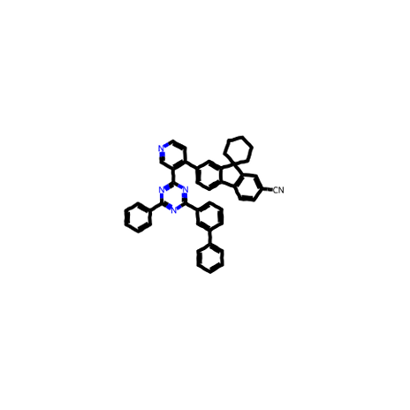 N#Cc1ccc2c(c1)C1(CCCCC1)c1cc(-c3ccncc3-c3nc(-c4ccccc4)nc(-c4cccc(-c5ccccc5)c4)n3)ccc1-2